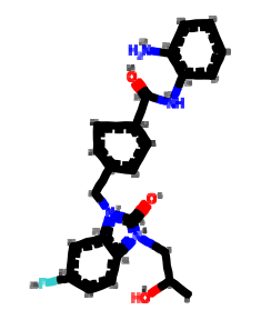 CC(O)Cn1c(=O)n(Cc2ccc(C(=O)Nc3ccccc3N)cc2)c2cc(F)ccc21